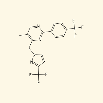 Cc1cnc(-c2ccc(C(F)(F)F)cc2)nc1Cn1ccc(C(F)(F)F)n1